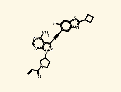 C=CC(=O)N1CCC(n2nc(C#Cc3cc4nc(C5CCC5)sc4cc3F)c3c(N)ncnc32)C1